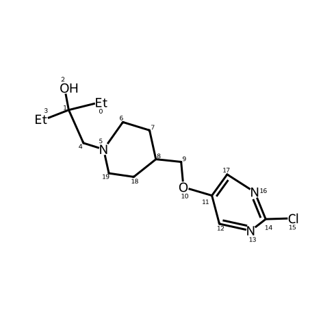 CCC(O)(CC)CN1CCC(COc2cnc(Cl)nc2)CC1